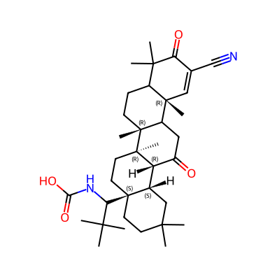 CC1(C)CC[C@]2(C(NC(=O)O)C(C)(C)C)CC[C@]3(C)[C@H](C(=O)CC4[C@@]5(C)C=C(C#N)C(=O)C(C)(C)C5CC[C@]43C)[C@@H]2C1